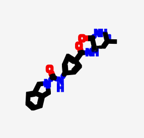 CC(C)C[C@H](NC(=O)c1ccc(NC(=O)N2Cc3ccccc3C2)cc1)C(N)=O